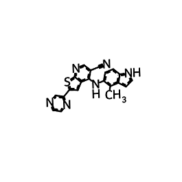 Cc1c(Nc2c(C#N)cnc3sc(-c4cnccn4)cc23)ccc2[nH]ccc12